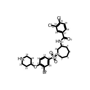 O=C(NC1CCCCN(S(=O)(=O)c2ccc(OC3CCNCC3)c(Br)c2)C1)c1ccc(Cl)c(Cl)c1